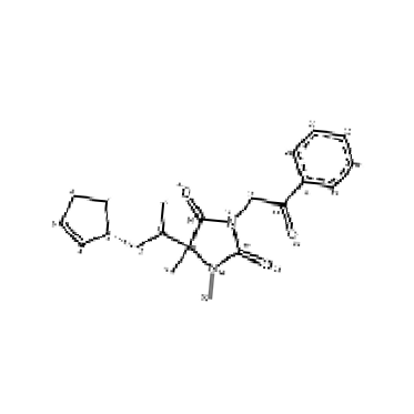 CC(C[C@@H]1C=CCC1)C1(C)C(=O)N(CC(=O)c2ccccc2)C(=O)N1C